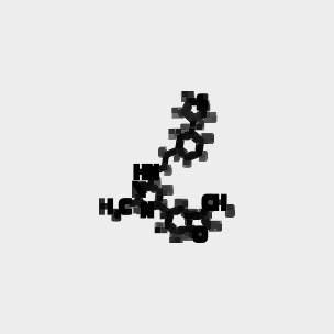 Cc1nc(NCCc2cccc(-c3ccsc3)c2)cc(-c2ccc3occ(C)c3c2)n1